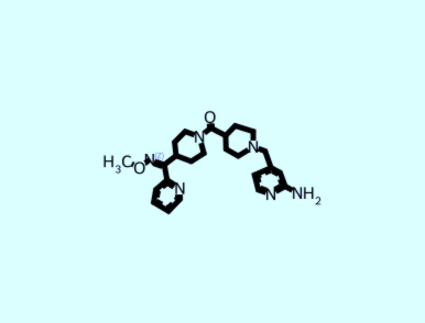 CO/N=C(\c1ccccn1)C1CCN(C(=O)C2CCN(Cc3ccnc(N)c3)CC2)CC1